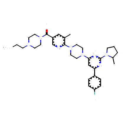 COCCN1CCN(C(=O)c2cnc(N3CCN(c4cc(-c5ccc(F)cc5)nc(N5CCCC5C)n4)CC3)c(C)c2)CC1